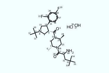 C[C@@H]1CN(C(=O)[C@@H]2CN(C(C)(C)C)C[C@H]2c2ccc(F)cc2F)[C@@H](C)CN1C(=O)C(N)CC(C)(C)C.Cl.Cl